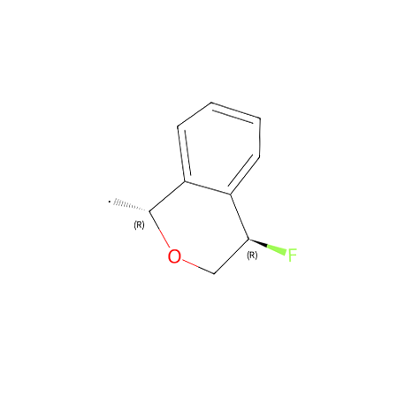 [CH2][C@H]1OC[C@H](F)c2ccccc21